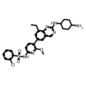 CCc1cc(-c2ccc(NS(=O)(=O)c3ccccc3Cl)nc2OC)cc2cnc(NC3CCC(N)CC3)nc12